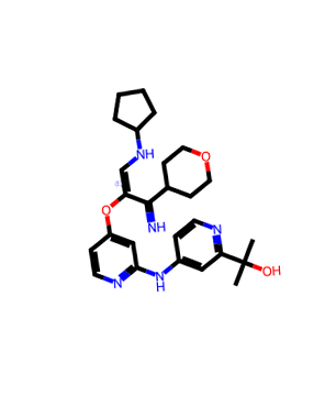 CC(C)(O)c1cc(Nc2cc(O/C(=C/NC3CCCC3)C(=N)C3CCOCC3)ccn2)ccn1